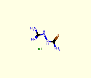 Cl.N=C(N)NNC(N)=S